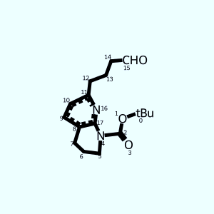 CC(C)(C)OC(=O)N1CCCc2ccc(CCCC=O)nc21